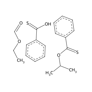 CC(C)OC(=S)c1ccccc1.CCOC=O.OC(=S)c1ccccc1